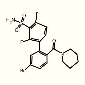 NS(=O)(=O)c1c(F)ccc(-c2cc(Br)ccc2C(=O)N2CCCCC2)c1F